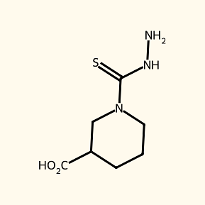 NNC(=S)N1CCCC(C(=O)O)C1